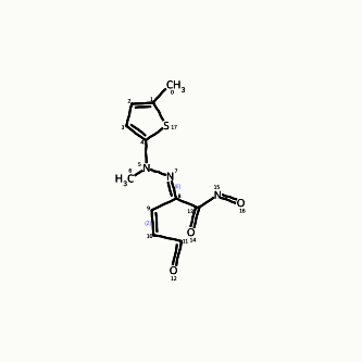 Cc1ccc(N(C)/N=C(\C=C/C=O)C(=O)N=O)s1